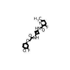 Cc1ccc(F)c(C(=O)NC23CC(NC(=O)COc4ccc(Cl)c(F)c4)(C2)C3)n1